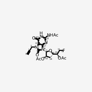 C#CCn1c(=O)n([C@@H]2O[C@H]([C@@H](CF)OC(C)=O)C[C@H]2OC(C)=O)c2nc(NC(C)=O)[nH]c(=O)c21